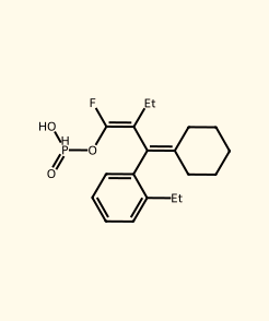 CC/C(C(=C1CCCCC1)c1ccccc1CC)=C(\F)O[PH](=O)O